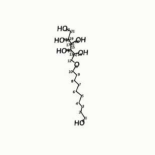 OCCCCCCCCCCOC[C@H](O)[C@@H](O)[C@H](O)[C@H](O)CO